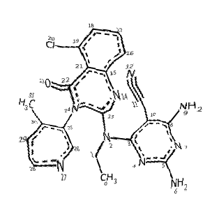 CCN(c1nc(N)nc(N)c1C#N)c1nc2cccc(Cl)c2c(=O)n1-c1cnccc1C